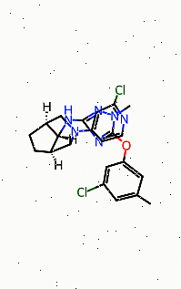 Cc1cc(Cl)cc(Oc2nc(N[C@@H]3[C@@H]4CC[C@H]3CN(c3ccnc(Cl)c3)C4)nn2C)c1